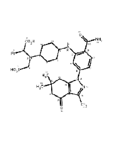 CC(C)[C@@H](C(=O)O)N(CS(=O)(=O)O)C1CCC(Nc2cc(-n3nc(C(F)(F)F)c4c3CC(C)(C)CC4=O)ccc2C(N)=O)CC1